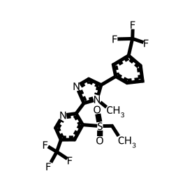 CCS(=O)(=O)c1cc(C(F)(F)F)cnc1-c1ncc(-c2cccc(C(F)(F)F)c2)n1C